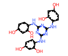 Oc1ccc(Nc2nc(Nc3ccc(O)cc3O)nc(Nc3ccc(O)cc3O)n2)c(O)c1